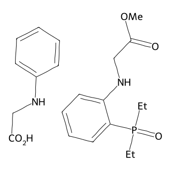 CCP(=O)(CC)c1ccccc1NCC(=O)OC.O=C(O)CNc1ccccc1